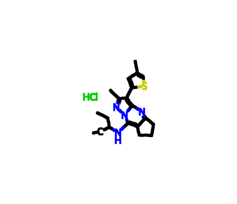 CCC(CC)Nc1c2c(nc3c(-c4cc(C)cs4)c(C)nn13)CCC2.Cl